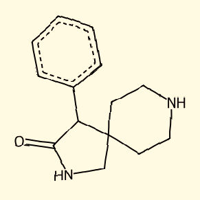 O=C1NCC2(CCNCC2)C1c1ccccc1